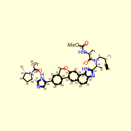 C#C[C@@H](C)CN(C(=O)[C@H](C)NC(=O)OC)[C@@H](C)c1nc2ccc3cc4c(cc3c2[nH]1)OCc1cc(-c2cnc([C@@H]3CC[C@H](C)N3C(=O)CCC)[nH]2)ccc1-4